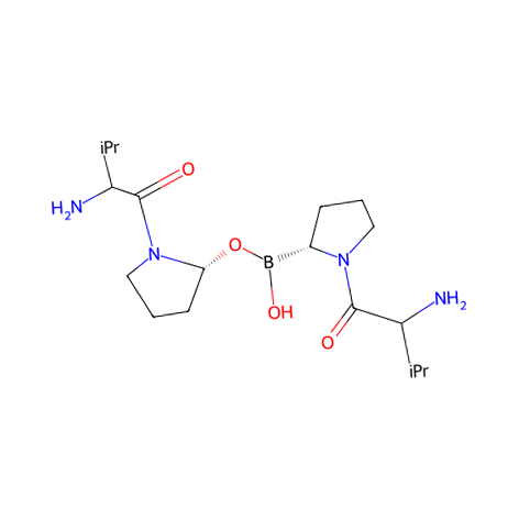 CC(C)C(N)C(=O)N1CCC[C@H]1OB(O)[C@@H]1CCCN1C(=O)C(N)C(C)C